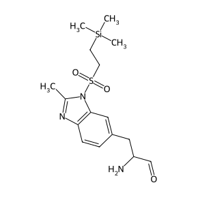 Cc1nc2ccc(CC(N)C=O)cc2n1S(=O)(=O)CC[Si](C)(C)C